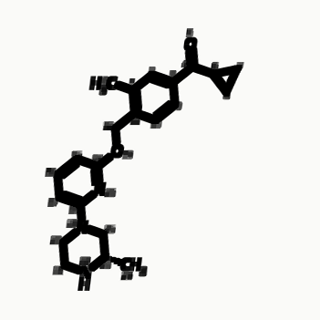 Cc1cc(C(=O)C2CC2)ccc1COc1cccc(N2CCN[C@@H](C)C2)n1